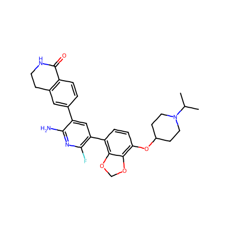 CC(C)N1CCC(Oc2ccc(-c3cc(-c4ccc5c(c4)CCNC5=O)c(N)nc3F)c3c2OCO3)CC1